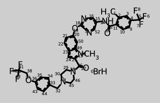 Br.Cc1cc(C(F)(F)F)ccc1C(=O)Nc1cnc(Oc2ccc3cc(C(=O)N4CCN(Cc5ccc(OCC(F)(F)F)cc5)CC4)n(C)c3c2)nc1